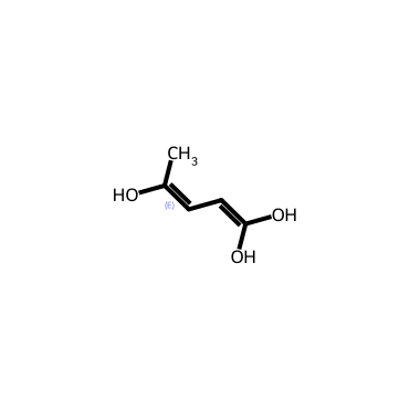 C/C(O)=C\C=C(O)O